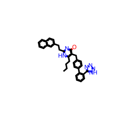 CCCCc1[nH]c(CCc2ccc3ccccc3c2)nc(=O)c1Cc1ccc(-c2ccccc2-c2nnn[nH]2)cc1